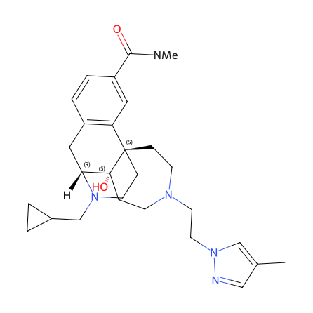 CNC(=O)c1ccc2c(c1)[C@@]13CCN(CCn4cc(C)cn4)CC[C@@]1(O)[C@@H](C2)N(CC1CC1)CC3